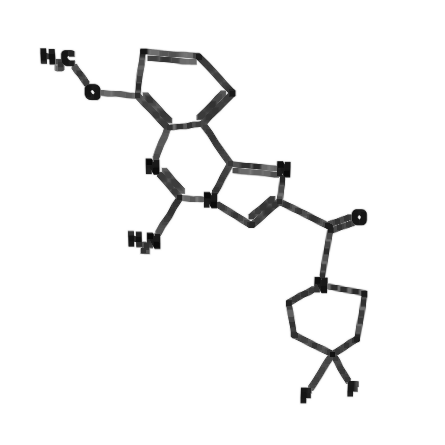 COc1cccc2c1nc(N)n1cc(C(=O)N3CCC(F)(F)CC3)nc21